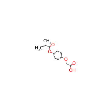 C=C(C)C(=O)Oc1ccc(OCC(=O)O)cc1